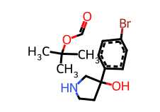 CC(C)(C)OC=O.OC1(c2ccc(Br)cc2)CCNC1